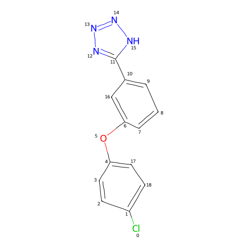 Clc1ccc(Oc2cccc(-c3nnn[nH]3)c2)cc1